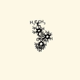 [2H]c1c([2H])c(C([2H])([2H])N(C(=O)NCc2c([2H])c([2H])c(OCC(C)C)c([2H])c2[2H])C2CC([2H])([2H])N(C([2H])([2H])[2H])C([2H])([2H])C2)c([2H])c([2H])c1F